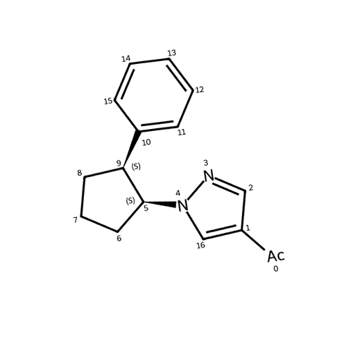 CC(=O)c1cnn([C@H]2CCC[C@H]2c2ccccc2)c1